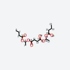 CCCC(=O)OC(C)OC(=O)CCC(=O)OC(C)OC(=O)CCC